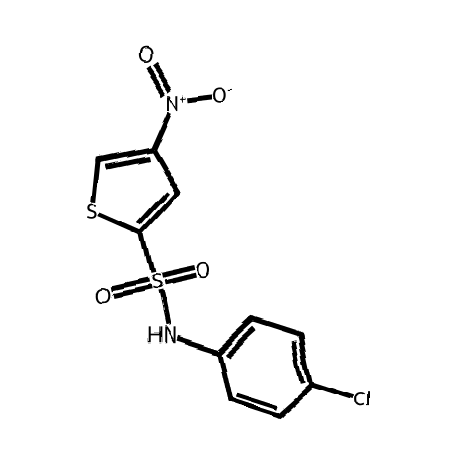 O=[N+]([O-])c1csc(S(=O)(=O)Nc2ccc(Cl)cc2)c1